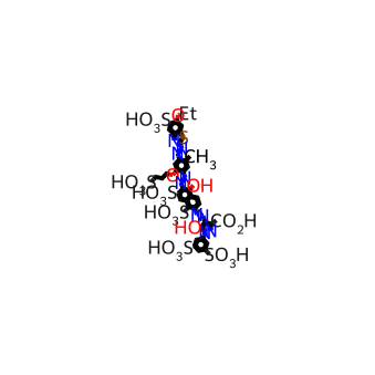 CCOc1cc2sc(N=Nc3cc(OCCCS(=O)(=O)O)c(N=Nc4c(S(=O)(=O)O)cc5c(S(=O)(=O)O)c(N=Nc6c(C(=O)O)nn(-c7cc(S(=O)(=O)O)cc(S(=O)(=O)O)c7)c6O)ccc5c4O)cc3C)nc2cc1S(=O)(=O)O